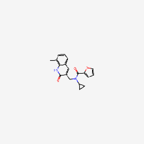 Cc1cccc2cc(CN(C(=O)c3ccco3)C3CC3)c(=O)[nH]c12